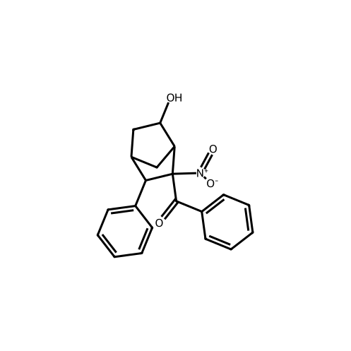 O=C(c1ccccc1)C1([N+](=O)[O-])C2CC(CC2O)C1c1ccccc1